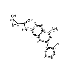 Cc1cnccc1-c1cc(N)c2cnc(NC(=O)C3CC3C#N)cc2c1